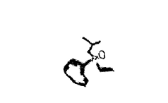 C=CP(=O)(CC(C)C)c1ccccc1